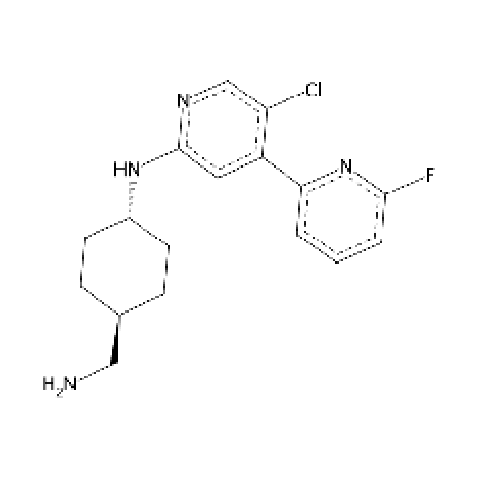 NC[C@H]1CC[C@H](Nc2cc(-c3cccc(F)n3)c(Cl)cn2)CC1